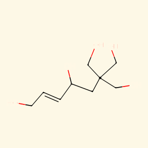 OCC=CC(O)CC(CO)(CO)CO